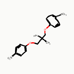 CCCC(C)(COc1ccc([N+](=O)[O-])cc1)COc1ccc([N+](=O)[O-])cc1